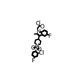 COC(=O)Cn1c(C)c(C2CCN(S(=O)(=O)c3ccc(F)cc3Cl)CC2)c2cc(F)ccc21